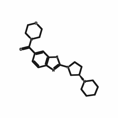 O=C(c1ccc2nc(N3CC[C@@H](N4CCCCC4)C3)sc2c1)N1CCOCC1